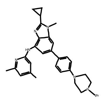 Cc1cc(C)nc(Nc2cc(-c3ccc(N4CCN(C(C)C)CC4)cc3)cc3c2nc(C2CC2)n3C)c1